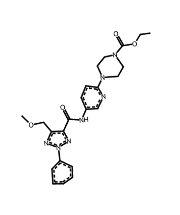 CCOC(=O)N1CCN(c2ccc(NC(=O)c3nn(-c4ccccc4)nc3COC)cn2)CC1